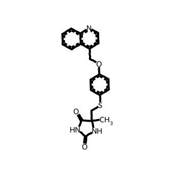 CC1(CSc2ccc(OCc3ccnc4ccccc34)cc2)NC(=O)NC1=O